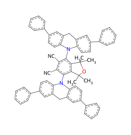 CC1(C)OC(C)(C)c2c(N3c4ccc(-c5ccccc5)cc4Cc4cc(-c5ccccc5)ccc43)c(C#N)c(C#N)c(N3c4ccc(-c5ccccc5)cc4Cc4cc(-c5ccccc5)ccc43)c21